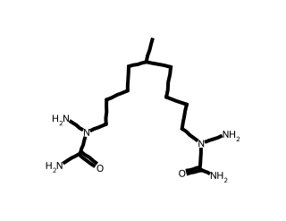 CC(CCCCN(N)C(N)=O)CCCCN(N)C(N)=O